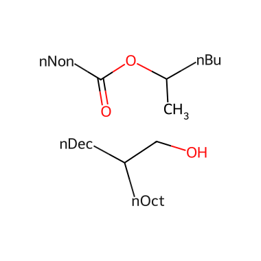 CCCCCCCCCC(=O)OC(C)CCCC.CCCCCCCCCCC(CO)CCCCCCCC